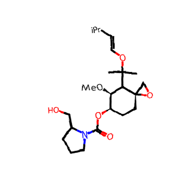 CO[C@H]1C(C(C)(C)O/C=C/C(C)C)[C@]2(CC[C@H]1OC(=O)N1CCCC1CO)CO2